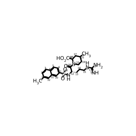 Cc1ccc2ccc(S(=O)(=O)N[C@@H](CCCNC(=N)N)C(=O)N3CCC(C)CC3C(=O)O)cc2c1